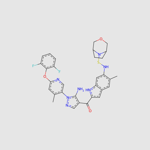 Cc1cc2cc(C(=O)c3cnn(-c4cnc(Oc5c(F)cccc5F)cc4C)c3N)[nH]c2cc1NSN1C2CCC1COC2